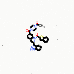 CC(=O)N1CCN(C(=O)c2ccc(C=Cc3n[nH]c4ccccc34)c(NC(=O)c3cc4ccccc4s3)c2)CC1